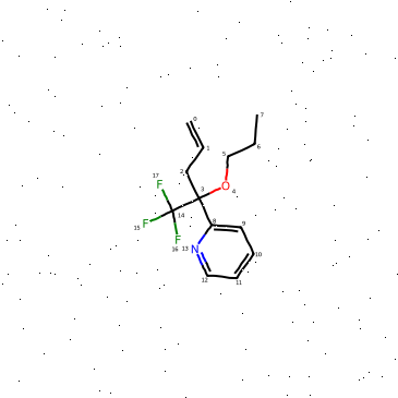 C=CCC(OCCC)(c1ccccn1)C(F)(F)F